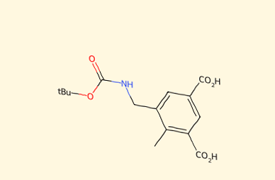 Cc1c(CNC(=O)OC(C)(C)C)cc(C(=O)O)cc1C(=O)O